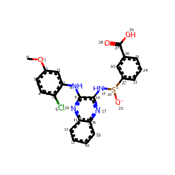 COc1ccc(Cl)c(Nc2nc3ccccc3nc2N[S+]([O-])c2cccc(C(=O)O)c2)c1